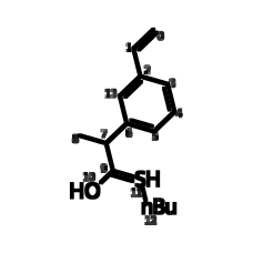 C=Cc1cccc(C(C)C(O)=[SH]CCCC)c1